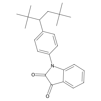 CC(C)(C)CC(c1ccc(N2C(=O)C(=O)c3ccccc32)cc1)C(C)(C)C